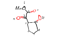 COC(=O)C(=O)C1CCCC1=O